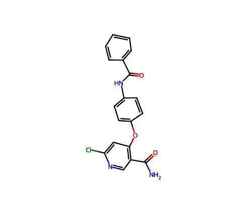 NC(=O)c1cnc(Cl)cc1Oc1ccc(NC(=O)c2ccccc2)cc1